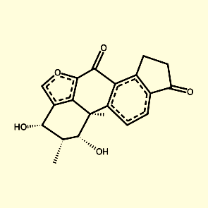 C[C@@H]1[C@H](O)c2coc3c2[C@@](C)(c2ccc4c(c2C3=O)CCC4=O)[C@@H]1O